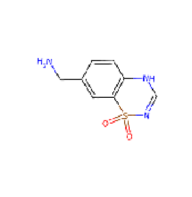 NCc1ccc2c(c1)S(=O)(=O)N=CN2